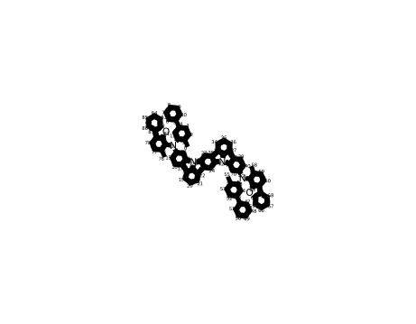 Cc1ccc(-c2ccccc2)cc1N(c1ccc2c3cccc4c5cc6c(cc5n(c2c1)c34)c1cccc2c3ccc(N(c4cc(-c5ccccc5)ccc4C)c4c(C)ccc5c4oc4ccccc45)cc3n6c21)c1c(C)ccc2c1oc1ccccc12